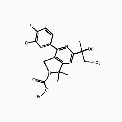 CC(C)(C)OC(=O)N1Cc2c(cc(C(C)(O)C[N+](=O)[O-])nc2-c2ccc(F)c(Cl)c2)C1(C)C